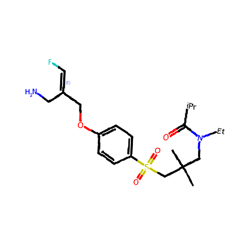 CCN(CC(C)(C)CS(=O)(=O)c1ccc(OC/C(=C/F)CN)cc1)C(=O)C(C)C